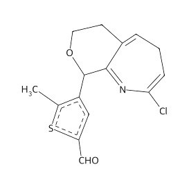 Cc1sc(C=O)cc1C1OCCC2=CCC=C(Cl)N=C21